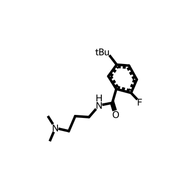 CN(C)CCCNC(=O)c1cc(C(C)(C)C)ccc1F